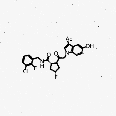 CC(=O)c1cn(CC(=O)C2C[C@H](F)C[C@H]2C(=O)NCc2cccc(Cl)c2F)c2ccc(O)cc12